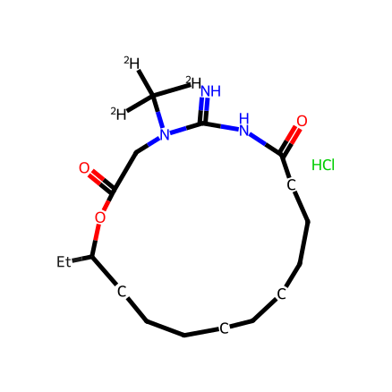 Cl.[2H]C([2H])([2H])N1CC(=O)OC(CC)CCCCCCCCCC(=O)NC1=N